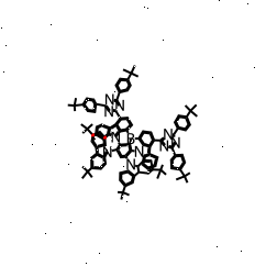 CC(C)(C)C1=CC2c3cc(C(C)(C)C)ccc3N(c3cc(-n4c5ccc(C(C)(C)C)cc5c5cc(C(C)(C)C)ccc54)c4c5c3-n3c6ccccc6c6c(-c7nc(-c8ccc(C(C)(C)C)cc8)nc(-c8ccc(C(C)(C)C)cc8)n7)ccc(c63)B5c3ccc(-c5nc(-c6ccc(C(C)(C)C)cc6)nc(-c6ccc(C(C)(C)C)cc6)n5)c5c6ccccc6n-4c35)C2C=C1